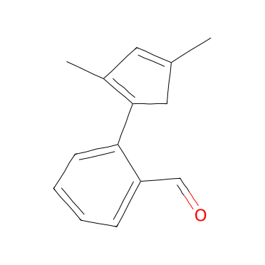 CC1=CC(C)=C(c2ccccc2C=O)C1